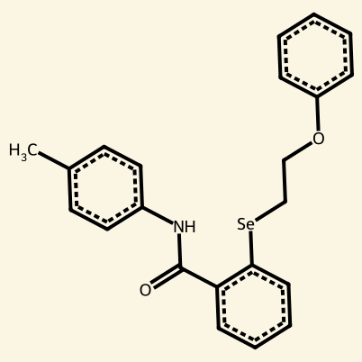 Cc1ccc(NC(=O)c2ccccc2[Se]CCOc2ccccc2)cc1